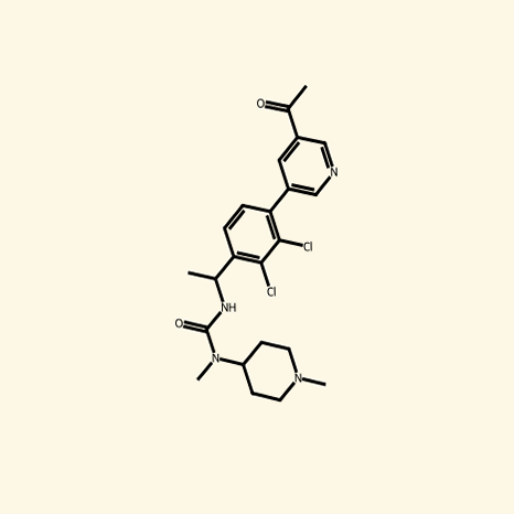 CC(=O)c1cncc(-c2ccc(C(C)NC(=O)N(C)C3CCN(C)CC3)c(Cl)c2Cl)c1